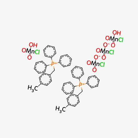 Cc1ccc(C[P+](c2ccccc2)(c2ccccc2)c2ccccc2)cc1.Cc1ccc(C[P+](c2ccccc2)(c2ccccc2)c2ccccc2)cc1.[O]=[Mn](=[O])([O-])[Cl].[O]=[Mn](=[O])([O-])[Cl].[O]=[Mn](=[O])([OH])[Cl].[O]=[Mn](=[O])([OH])[Cl]